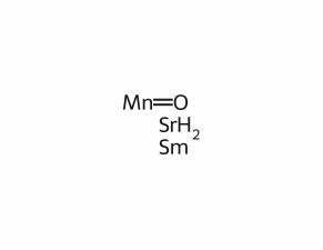 [O]=[Mn].[Sm].[SrH2]